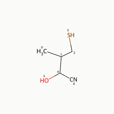 CC(CS)C(O)C#N